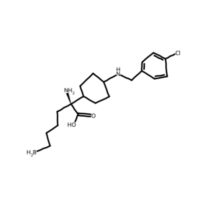 BCCCC[C@@](N)(C(=O)O)C1CCC(NCc2ccc(Cl)cc2)CC1